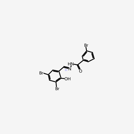 O=C(N/N=C/c1cc(Br)cc(Br)c1O)c1cccc(Br)c1